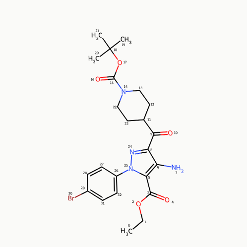 CCOC(=O)c1c(N)c(C(=O)C2CCN(C(=O)OC(C)(C)C)CC2)nn1-c1ccc(Br)cc1